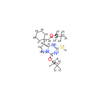 CSc1nc(O[Si](C)(C)C(C)(C)C)n2ncc(C3(CO[Si](C)(C)C(C)(C)C)CCCCC3)c2n1